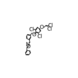 ClC(Cl)=CCOc1cc(Cl)c(OCc2cccc(C=NOCc3ccccc3)c2)c(Cl)c1